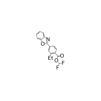 CCc1cc(-c2nc3ccccc3o2)ccc1C(=O)OC(F)F